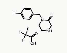 O=C(O)C(F)(F)F.O=C1CNCCN1Cc1ccc(F)cc1